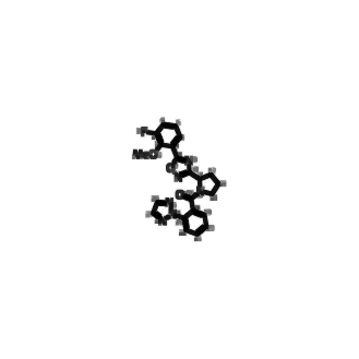 COc1c(F)cccc1-c1nc(C2CCCN2C(=O)c2ccccc2-n2nccn2)no1